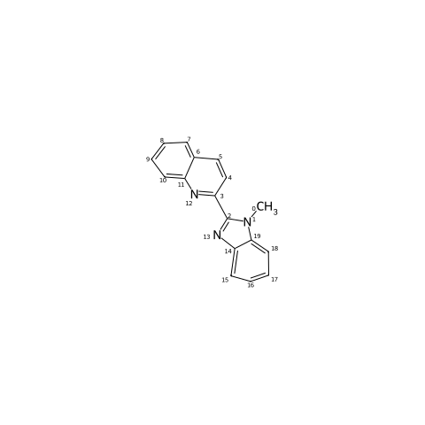 Cn1c(-c2ccc3ccccc3n2)nc2ccccc21